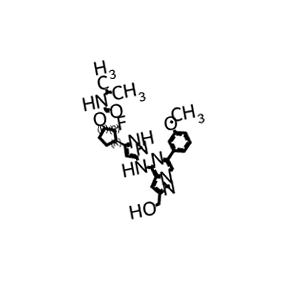 COc1cccc(-c2cn3nc(CO)cc3c(Nc3cc([C@H]4CC[C@@H](OC(=O)NC(C)C)[C@@H]4F)[nH]n3)n2)c1